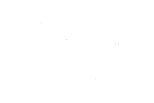 OC1CSC(c2cncc(Br)c2)=N1